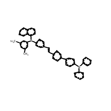 Cc1cc(C)cc(N(c2ccc(/C=C/c3ccc(-c4ccc(N(c5ccccc5)c5ccccc5)cc4)cc3)cc2)c2cccc3ccccc23)c1